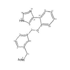 CC(=O)NCc1cccc(COc2ccccc2-c2c[nH]cn2)c1